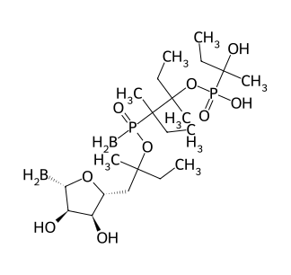 B[C@@H]1O[C@H](CC(C)(CC)OP(B)(=O)C(C)(CC)C(C)(CC)OP(=O)(O)C(C)(O)CC)[C@@H](O)[C@H]1O